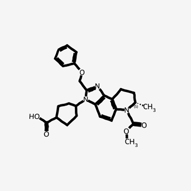 COC(=O)N1c2ccc3c(nc(COc4ccccc4)n3C3CCC(C(=O)O)CC3)c2CC[C@@H]1C